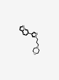 c1cc2ccc(-c3cnn(CCCN4CCOCC4)c3)cn2n1